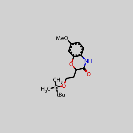 COc1ccc2c(c1)OC(CCO[Si](C)(C)C(C)(C)C)C(=O)N2